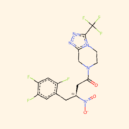 O=C(C[C@H](Cc1cc(F)c(F)cc1F)[N+](=O)[O-])N1CCn2c(nnc2C(F)(F)F)C1